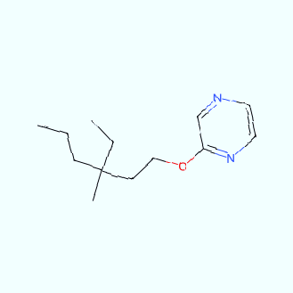 CCCC(C)(CC)CCOc1cnccn1